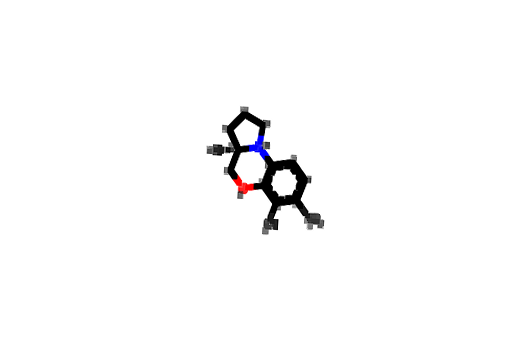 N#Cc1c([N+](=O)[O-])ccc2c1OC[C@H]1CCCN21